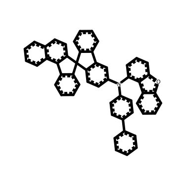 c1ccc(-c2ccc(N(c3ccc4c(c3)-c3ccccc3C43c4ccccc4-c4c3ccc3ccccc43)c3cccc4oc5ccccc5c34)cc2)cc1